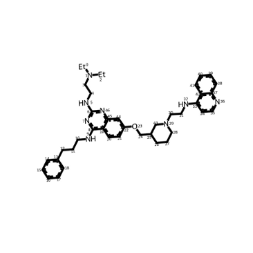 CCN(CC)CCNc1nc(NCCCc2ccccc2)c2ccc(OCC3CCCN(CCNc4ccnc5ccccc45)C3)cc2n1